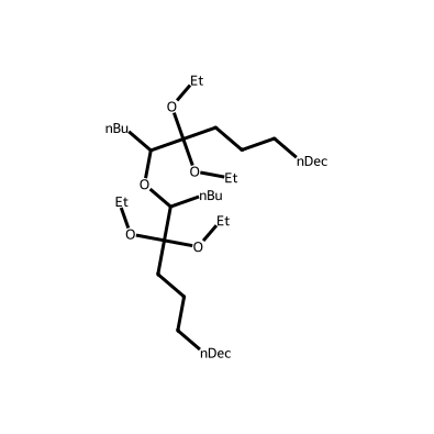 CCCCCCCCCCCCCC(OCC)(OCC)C(CCCC)OC(CCCC)C(CCCCCCCCCCCCC)(OCC)OCC